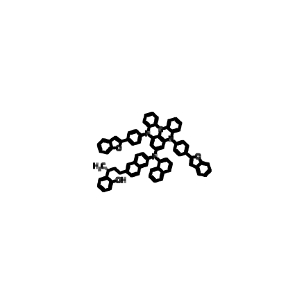 C[C@H](CCc1ccc2cc(N(c3cc4c5c(c3)N(c3ccc(-c6cc7ccccc7o6)cc3)c3ccccc3B5c3ccccc3N4c3ccc(-c4cc5ccccc5o4)cc3)c3cccc4ccccc34)ccc2c1)c1ccccc1O